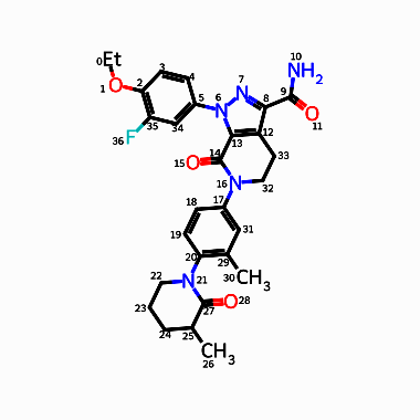 CCOc1ccc(-n2nc(C(N)=O)c3c2C(=O)N(c2ccc(N4CCCC(C)C4=O)c(C)c2)CC3)cc1F